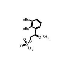 CCCCc1cccc(C(=O)COS(=O)(=O)C(F)(F)F)c1CCCC.S